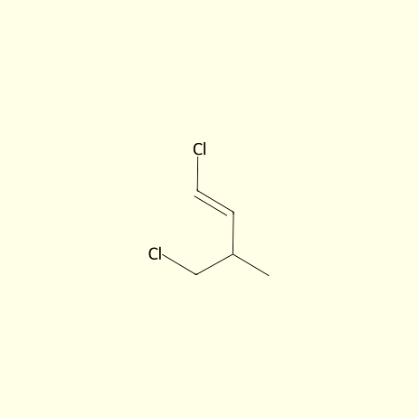 CC(C=CCl)CCl